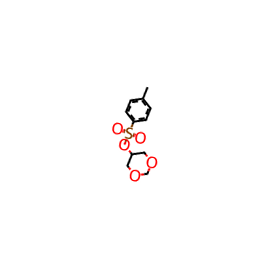 Cc1ccc(S(=O)(=O)OC2COCOC2)cc1